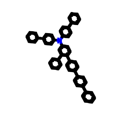 c1ccc(-c2ccc(-c3ccc(-c4ccc(N(c5ccc(-c6ccccc6)cc5)c5ccc(-c6ccccc6)cc5)cc4-c4ccccc4)cc3)cc2)cc1